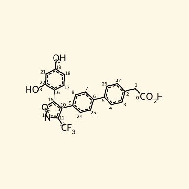 O=C(O)Cc1ccc(-c2ccc(-c3c(C(F)(F)F)noc3-c3ccc(O)cc3O)cc2)cc1